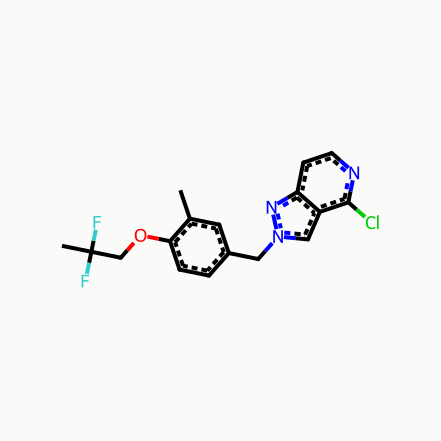 Cc1cc(Cn2cc3c(Cl)nccc3n2)ccc1OCC(C)(F)F